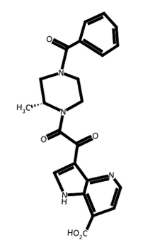 C[C@@H]1CN(C(=O)c2ccccc2)CCN1C(=O)C(=O)c1c[nH]c2c(C(=O)O)ccnc12